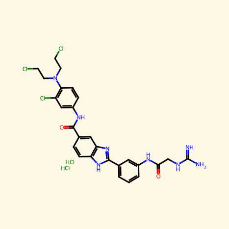 Cl.Cl.N=C(N)NCC(=O)Nc1cccc(-c2nc3cc(C(=O)Nc4ccc(N(CCCl)CCCl)c(Cl)c4)ccc3[nH]2)c1